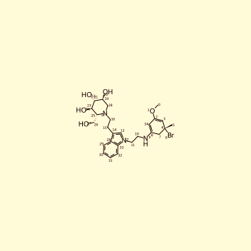 COC1=C[C@](C)(Br)CC(NCCn2cc(CCN3C[C@H](O)[C@@H](O)[C@H](O)[C@H]3CO)c3ccccc32)=C1